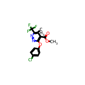 COC(=O)c1c(Oc2ccc(Cl)cc2)nnc(C(F)(F)F)c1C